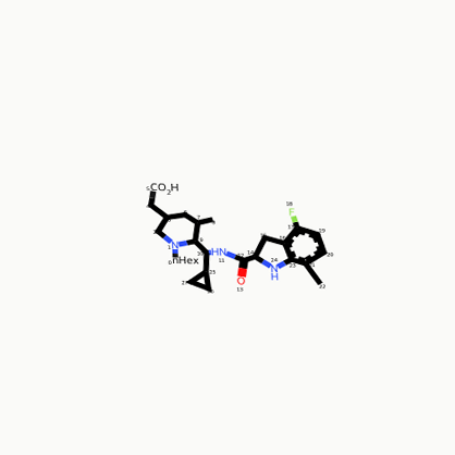 CCCCCCN1CC(CC(=O)O)CC(C)C1C(NC(=O)C1Cc2c(F)ccc(C)c2N1)C1CC1